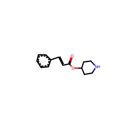 O=C(C=Cc1ccccc1)OC1CCNCC1